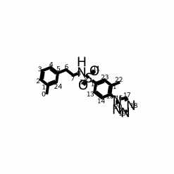 Cc1cccc(CCNS(=O)(=O)c2ccc(-n3cnnn3)c(C)c2)c1